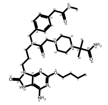 CCCCOc1nc(N)c2[nH]c(=O)n(CCCN(Cc3ccc(CC(=O)OC)cc3)C(=O)CN3CCN(C(C)(C)C(N)=O)CC3)c2n1